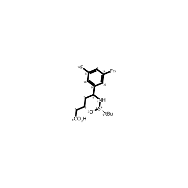 CC(C)(C)[S@+]([O-])NC(CCCC(=O)O)c1cc(F)cc(F)c1